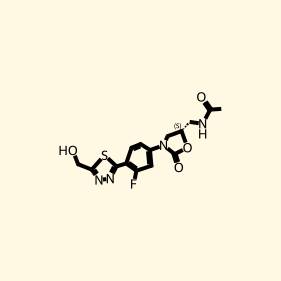 CC(=O)NC[C@H]1CN(c2ccc(-c3nnc(CO)s3)c(F)c2)C(=O)O1